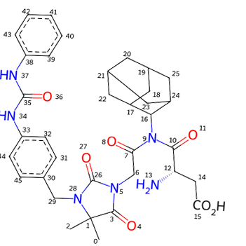 CC1(C)C(=O)N(CC(=O)N(C(=O)[C@@H](N)CC(=O)O)C2C3CC4CC(C3)CC2C4)C(=O)N1Cc1ccc(NC(=O)Nc2ccccc2)cc1